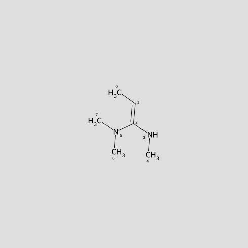 CC=C(NC)N(C)C